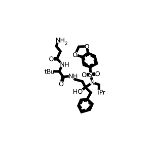 CC(C)CN(C(O)(CCNC(=O)C(NC(=O)CCN)C(C)(C)C)Cc1ccccc1)S(=O)(=O)c1ccc2c(c1)OCO2